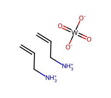 C=CC[NH3+].C=CC[NH3+].[O]=[W](=[O])([O-])[O-]